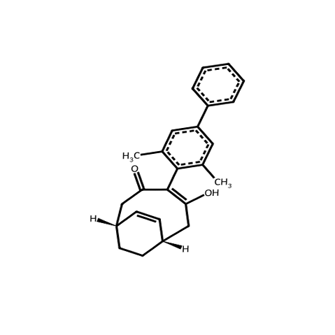 Cc1cc(-c2ccccc2)cc(C)c1/C1=C(\O)C[C@H]2C=C[C@H](CC2)CC1=O